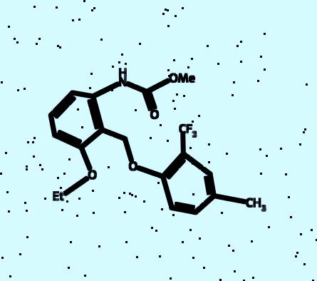 CCOc1cccc(NC(=O)OC)c1COc1ccc(C)cc1C(F)(F)F